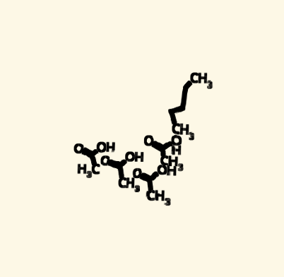 CC(=O)O.CC(=O)O.CC(=O)O.CC(=O)O.CCCCC